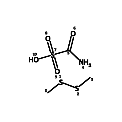 CSSC.NC(=O)S(=O)(=O)O